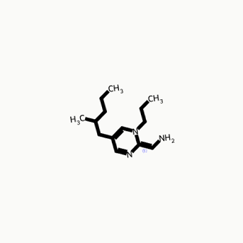 CCCC(C)CC1=CN(CCC)/C(=C\N)N=C1